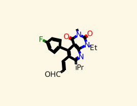 CCn1c(=O)n(C)c(=O)c2c(-c3ccc(F)cc3)c(/C=C/C=O)c(C(C)C)nc21